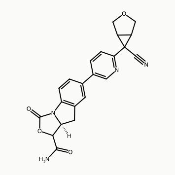 N#CC1(c2ccc(-c3ccc4c(c3)C[C@H]3C(C(N)=O)OC(=O)N43)cn2)C2COCC21